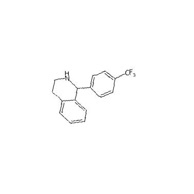 FC(F)(F)c1ccc(C2NCCc3ccccc32)cc1